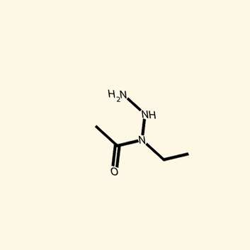 CCN(NN)C(C)=O